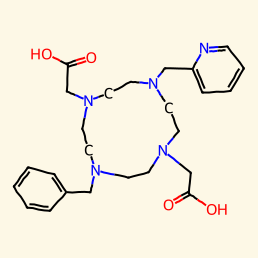 O=C(O)CN1CCN(Cc2ccccc2)CCN(CC(=O)O)CCN(Cc2ccccn2)CC1